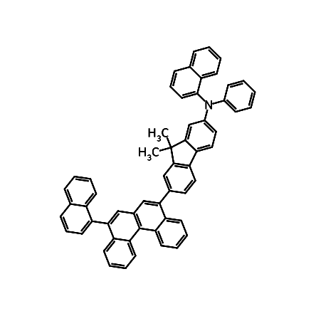 CC1(C)c2cc(-c3cc4cc(-c5cccc6ccccc56)c5ccccc5c4c4ccccc34)ccc2-c2ccc(N(c3ccccc3)c3cccc4ccccc34)cc21